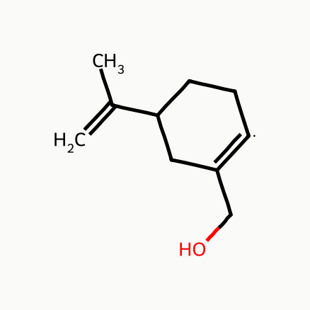 C=C(C)C1CC[C]=C(CO)C1